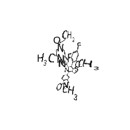 C=CC(=O)N1Cc2cc(-c3nc(-c4ccc5c(c4)CN(C)C5=O)c4ccsc4c3-c3c(F)cc(F)cc3OC)nn2C(C)C1